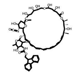 CO[C@]12C[C@@H](O)C[C@@H](O)[C@H](O)CC[C@@H](O)C[C@@H](O)CC(=O)O[C@@H](C)[C@H](C)[C@H](O)[C@@H](C)/C=C/C=C/C=C/C=C/C=C/C=C/C=C/[C@H](OC3OC(C)C(O)C(NC(=O)OCC4c5ccccc5-c5ccccc54)C3O)CC(O1)[C@H](N=C=O)[C@@H](O)C2